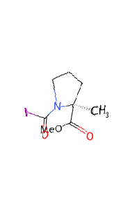 COC(=O)[C@]1(C)CCCN1C(=O)I